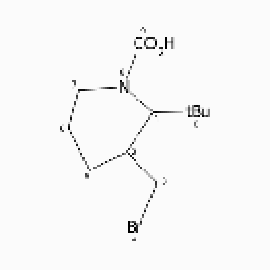 CC(C)(C)C1C(CBr)CCCN1C(=O)O